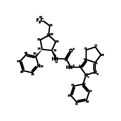 O=C(Nc1c2c(nn1-c1ccccc1)CCC2)N[C@@H]1CN(CC(F)(F)F)C[C@H]1c1ccccn1